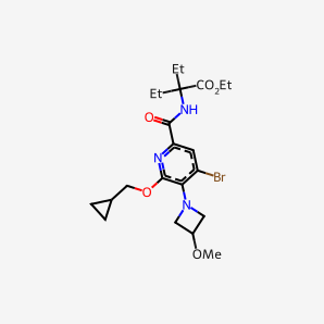 CCOC(=O)C(CC)(CC)NC(=O)c1cc(Br)c(N2CC(OC)C2)c(OCC2CC2)n1